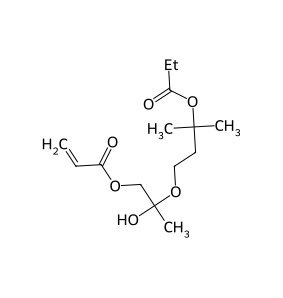 C=CC(=O)OCC(C)(O)OCCC(C)(C)OC(=O)CC